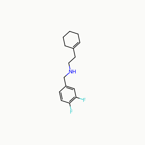 Fc1ccc(CNCCC2=CCCCC2)cc1F